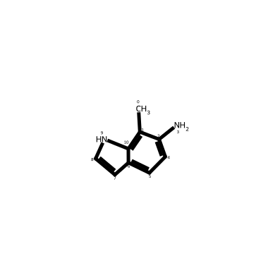 Cc1c(N)ccc2cc[nH]c12